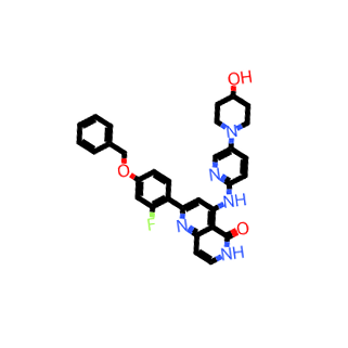 O=c1[nH]ccc2nc(-c3ccc(OCc4ccccc4)cc3F)cc(Nc3ccc(N4CCC(O)CC4)cn3)c12